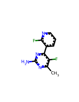 Cc1nc(N)nc(-c2cccnc2F)c1F